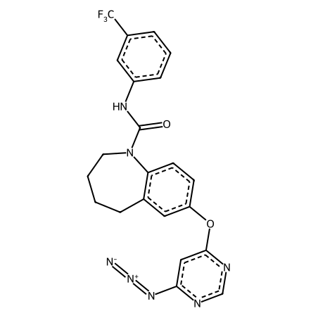 [N-]=[N+]=Nc1cc(Oc2ccc3c(c2)CCCCN3C(=O)Nc2cccc(C(F)(F)F)c2)ncn1